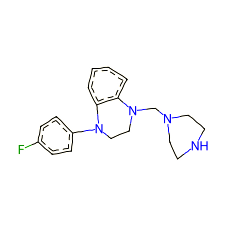 Fc1ccc(N2CCN(CN3CCNCC3)c3ccccc32)cc1